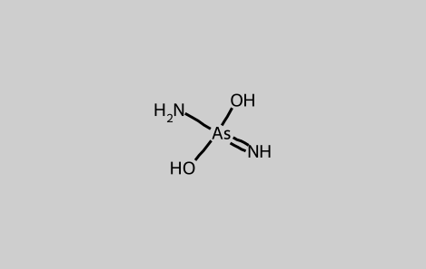 N=[As](N)(O)O